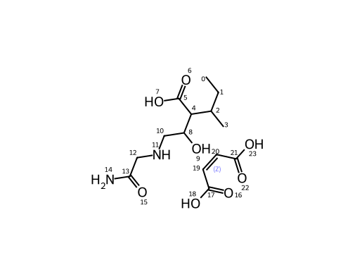 CCC(C)C(C(=O)O)C(O)CNCC(N)=O.O=C(O)/C=C\C(=O)O